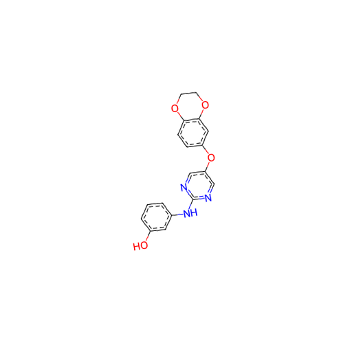 Oc1cccc(Nc2ncc(Oc3ccc4c(c3)OCCO4)cn2)c1